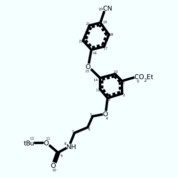 CCOC(=O)c1cc(OCCCNC(=O)OC(C)(C)C)cc(Oc2ccc(C#N)cc2)c1